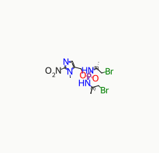 C[C@H](CBr)NP(=O)(N[C@H](C)CBr)OCc1cnc([N+](=O)[O-])n1C